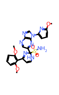 COc1cccc(-n2cnc3ncc(C4(S(N)(=O)=O)N=C(c5c(OC)cccc5OC)C=CN4)nc32)n1